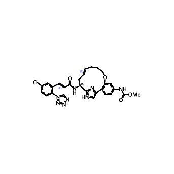 COC(=O)Nc1ccc2c(c1)OCCC/C=C/C[C@H](NC(=O)/C=C/c1cc(Cl)ccc1-n1cnnn1)c1nc-2c[nH]1